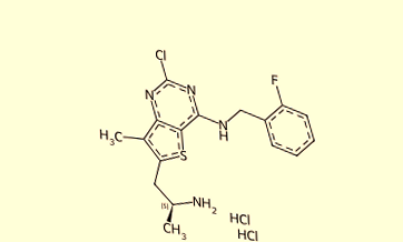 Cc1c(C[C@H](C)N)sc2c(NCc3ccccc3F)nc(Cl)nc12.Cl.Cl